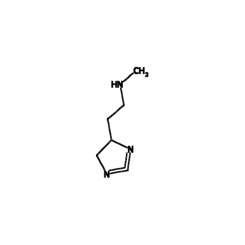 CNCCC1CN=C=N1